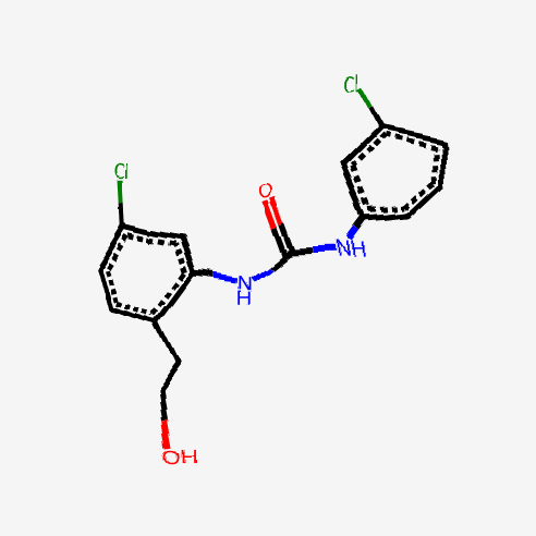 O=C(Nc1cccc(Cl)c1)Nc1cc(Cl)ccc1CCO